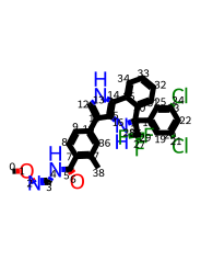 CO/N=C\NC(=O)c1ccc(-c2c[nH]c3c2NC(c2cc(Cl)cc(Cl)c2)(C(F)(F)F)c2ccccc2-3)cc1C